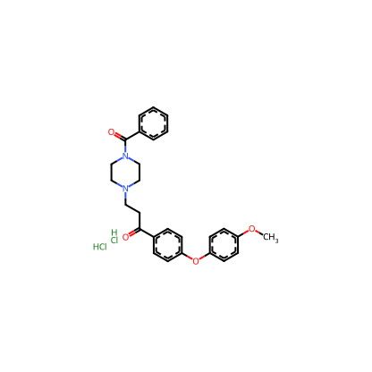 COc1ccc(Oc2ccc(C(=O)CCN3CCN(C(=O)c4ccccc4)CC3)cc2)cc1.Cl.Cl